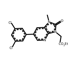 CCOC(=O)Cn1c(=O)n(C)c2cc(-c3cc(Cl)cc(Cl)c3)cnc21